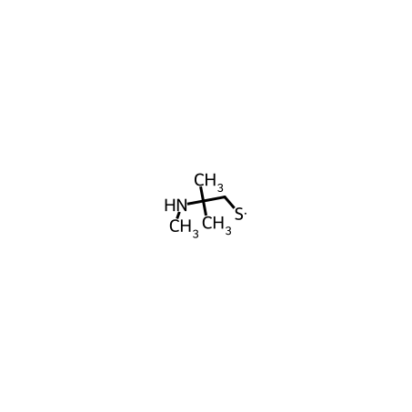 CNC(C)(C)C[S]